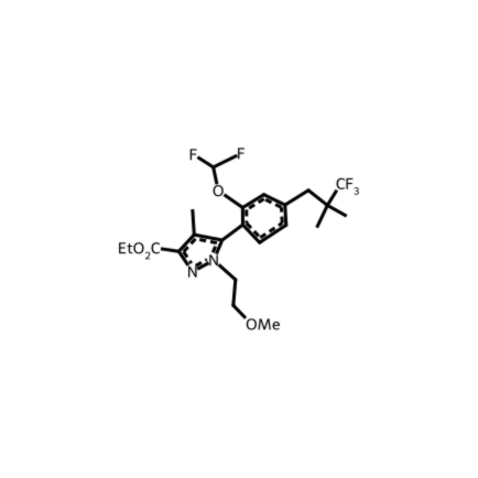 CCOC(=O)c1nn(CCOC)c(-c2ccc(CC(C)(C)C(F)(F)F)cc2OC(F)F)c1C